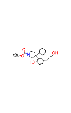 CC(C)(C)OC(=O)N1CCC(c2ccccc2)(c2cc(CCCO)ccc2O)CC1